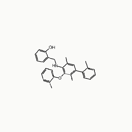 Cc1ccccc1Oc1c(C)c(-c2ccccc2C)cc(C)c1NCc1ccccc1O